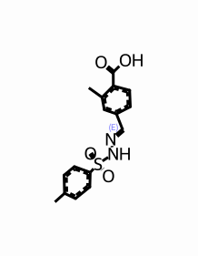 Cc1ccc(S(=O)(=O)N/N=C/c2ccc(C(=O)O)c(C)c2)cc1